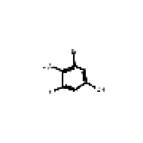 O=C(O)c1c(Br)cc(O)cc1Br